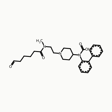 CN(CCN1CCC(N(C(=O)O)c2ccccc2-c2ccccc2)CC1)C(=O)CCCCC=O